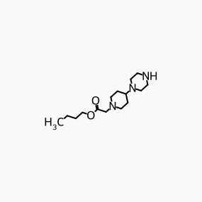 CCCCOC(=O)CN1CCC(N2CCNCC2)CC1